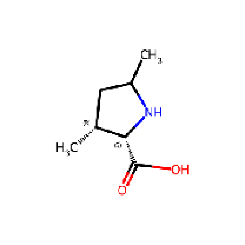 CC1C[C@@H](C)[C@@H](C(=O)O)N1